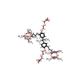 C[SiH]1O[SiH](C)O[Si](C)(CCCc2cc(C(C)(C)c3ccc(OCCOCC4CO4)c(CCC[Si]4(C)O[SiH](C)O[SiH](C)O[SiH](C)O4)c3)ccc2OCCOCC2CO2)O[SiH](C)O1